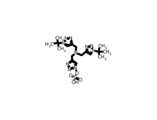 CC(C)(C)n1cc(CN(Cc2cn(OS(=O)(=O)O)nn2)Cc2cn(C(C)(C)C)nn2)nn1